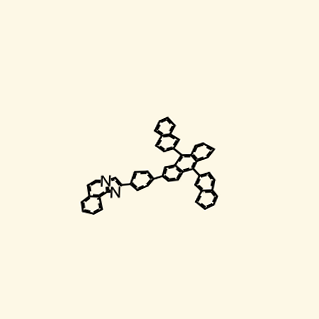 c1ccc2cc(-c3c4ccccc4c(-c4ccc5ccccc5c4)c4cc(-c5ccc(-c6cn7ccc8ccccc8c7n6)cc5)ccc34)ccc2c1